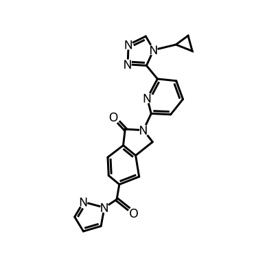 O=C1c2ccc(C(=O)n3cccn3)cc2CN1c1cccc(-c2nncn2C2CC2)n1